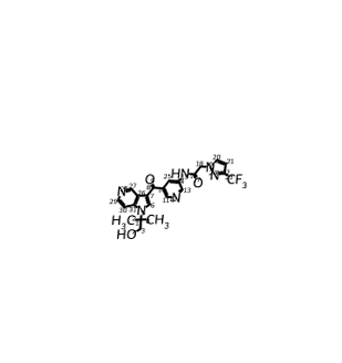 CC(C)(CO)n1cc(C(=O)c2cncc(NC(=O)Cn3ccc(C(F)(F)F)n3)c2)c2cnccc21